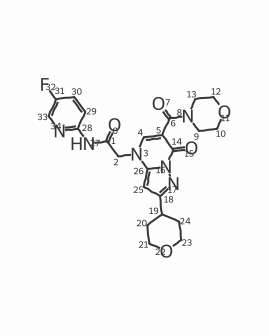 O=C(Cn1cc(C(=O)N2CCOCC2)c(=O)n2nc(C3CCOCC3)cc12)Nc1ccc(F)cn1